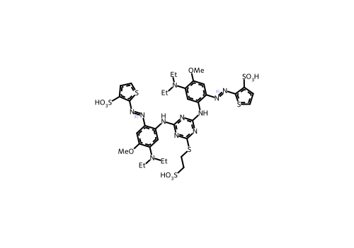 CCN(CC)c1cc(Nc2nc(Nc3cc(N(CC)CC)c(OC)cc3/N=N/c3sccc3S(=O)(=O)O)nc(SCCS(=O)(=O)O)n2)c(/N=N/c2sccc2S(=O)(=O)O)cc1OC